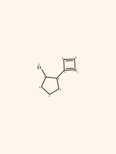 CCC1CCCC1C1=NC=C1